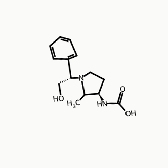 CC1[C@H](NC(=O)O)CCN1[C@H](CO)c1ccccc1